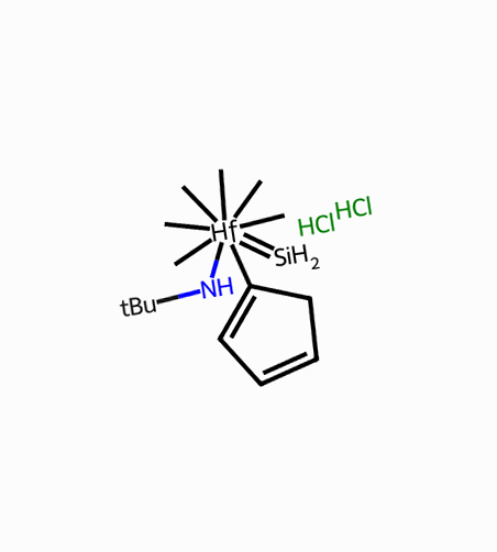 CC(C)(C)[NH][Hf]([CH3])([CH3])([CH3])([CH3])([CH3])([CH3])(=[SiH2])[C]1=CC=CC1.Cl.Cl